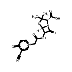 CC1(C)S[C@@H]2C(NC(=O)Cn3ccc(=O)c(C#N)c3)C(=O)N2[C@H]1C(=O)O